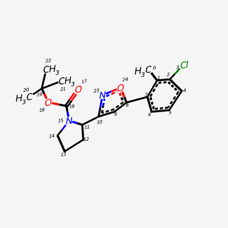 Cc1c(Cl)cccc1-c1cc(C2CCCN2C(=O)OC(C)(C)C)no1